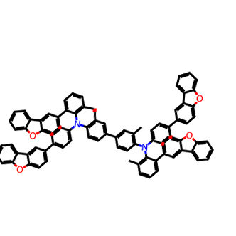 Cc1cc(-c2ccc(N(c3ccc(-c4ccc5oc6ccccc6c5c4)cc3)c3c(C)cccc3-c3ccc4oc5ccccc5c4c3)c(C)c2)ccc1N(c1ccc(-c2ccc3oc4ccccc4c3c2)cc1)c1c(C)cccc1-c1ccc2oc3ccccc3c2c1